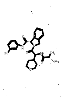 CN[C@@H](C)C(=O)NC(C(=O)N1Cc2ccccc2[C@H]1C(=O)Nc1cccc(C(C)(C)C)c1)C1CCOCC1